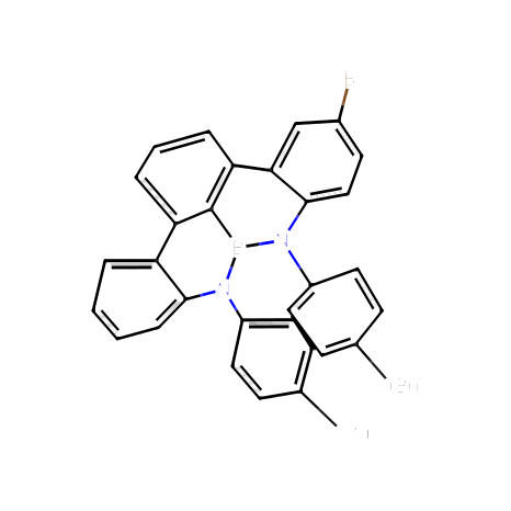 CC(C)(C)c1ccc(N2B3c4c(cccc4-c4cc(Br)ccc4N3c3ccc(C(C)(C)C)cc3)-c3ccccc32)cc1